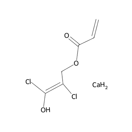 C=CC(=O)OCC(Cl)=C(O)Cl.[CaH2]